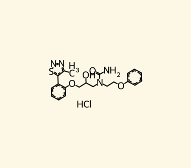 Cc1nnsc1-c1ccccc1OCC(O)CN(CCOc1ccccc1)C(N)=O.Cl